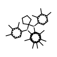 Cc1ccc(P(c2ccc(C)c(C)c2C)C2(P(c3ccc(C)c(C)c3C)c3ccc(C)c(C)c3C)CCCC2)c(C)c1C